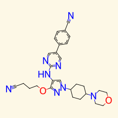 N#CCCCOc1nn(C2CCC(N3CCOCC3)CC2)cc1Nc1ncc(-c2ccc(C#N)cc2)cn1